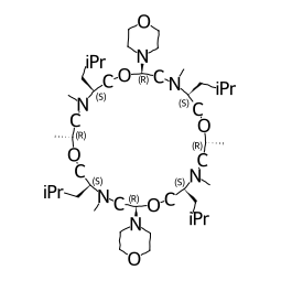 CC(C)C[C@H]1CO[C@@H](N2CCOCC2)CN(C)[C@@H](CC(C)C)CO[C@H](C)CN(C)[C@@H](CC(C)C)CO[C@@H](N2CCOCC2)CN(C)[C@@H](CC(C)C)CO[C@H](C)CN1C